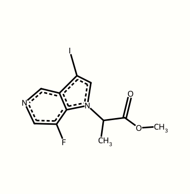 COC(=O)C(C)n1cc(I)c2cncc(F)c21